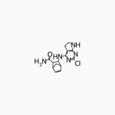 NC(=O)C1C2C=CC(C2)C1Nc1nc(Cl)nc2c1CCN2